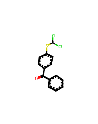 O=C(c1ccccc1)c1ccc(SC(Cl)Cl)cc1